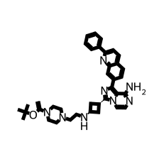 C=C(OC(C)(C)C)N1CCN(CCN[C@H]2C[C@@H](c3nc(-c4ccc5ccc(-c6ccccc6)nc5c4)c4c(N)nccn43)C2)CC1